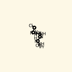 CC(C)C(=O)Nc1cncc(-c2cnc3[nH]nc(-c4nc5c(-c6cccc(Cl)c6)cncc5[nH]4)c3c2)c1